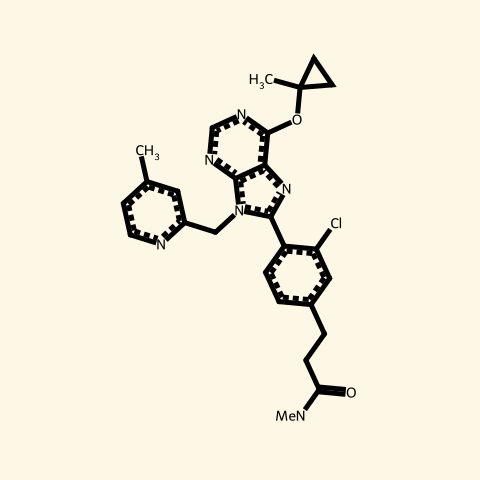 CNC(=O)CCc1ccc(-c2nc3c(OC4(C)CC4)ncnc3n2Cc2cc(C)ccn2)c(Cl)c1